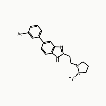 CC(=O)c1cccc(-c2ccc3[nH]c(CCN4CCC[C@H]4C)nc3c2)c1